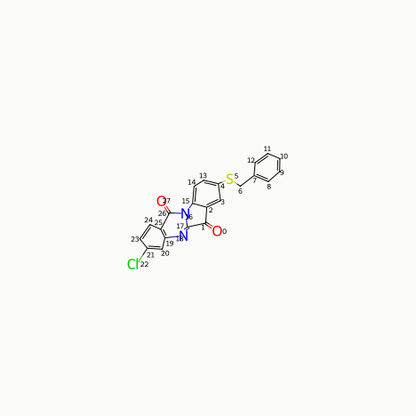 O=C1c2cc(SCc3ccccc3)ccc2-n2c1nc1cc(Cl)ccc1c2=O